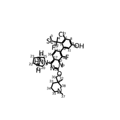 C[Se]C(C)(C)c1c(Cl)cc(O)cc1-c1c(F)cc2c(N3C[C@H]4CC[C@@H](C3)N4)nc(OCC3(C)CCCN(C)C3)nc2c1F